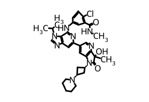 CNC(=O)c1cc(Nc2nc(-c3cnc4c(c3)N([C@H]3C[C@@H](N5CCCCC5)C3)C(=O)C4(C)O)cc3ncn(C(C)C)c23)ccc1Cl